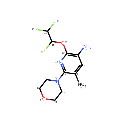 Nc1cc([N+](=O)[O-])c(N2CCOCC2)nc1OC(F)C(F)F